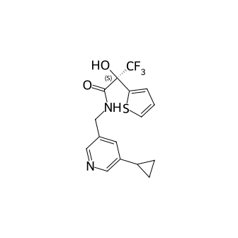 O=C(NCc1cncc(C2CC2)c1)[C@@](O)(c1cccs1)C(F)(F)F